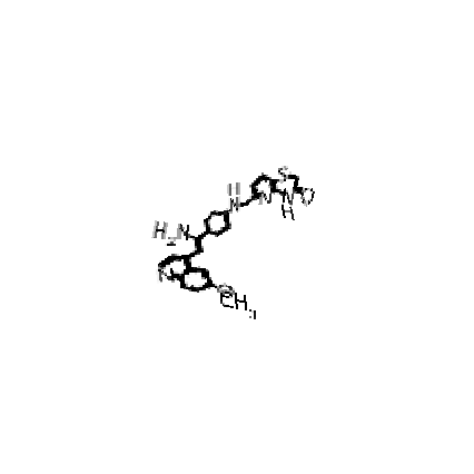 COc1ccc2nccc(C[C@@H](N)C3CCC(NCc4ccc5c(n4)NC(=O)CS5)CC3)c2c1